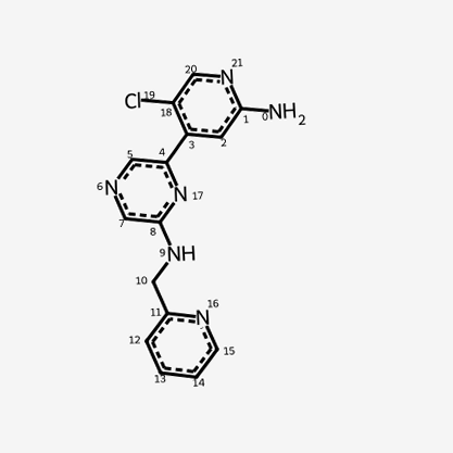 Nc1cc(-c2cncc(NCc3ccccn3)n2)c(Cl)cn1